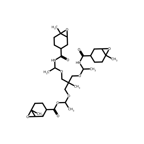 CC(NC(=O)C1CCC2(C)OC2C1)OCC(C)(COC(C)NC(=O)C1CCC2(C)OC2C1)COC(C)OC(=O)C1CCC2(C)OC2C1